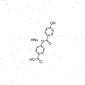 O=C(O)c1ccc(OC(=O)c2ccc(O)cc2)cc1.[NaH]